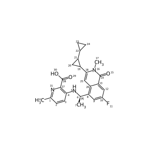 Cc1ccc(N[C@H](C)c2cc(F)cc3c(=O)n(C)c(C4CC4C4CC4)cc23)c(C(=O)O)n1